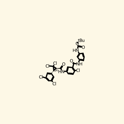 CC(C)(C)OC(=O)Nc1cccc(NC(=O)c2cc(NC(=O)[C@H]3[C@H](c4cc(Cl)cc(Cl)c4)C3(Cl)Cl)ccc2Cl)c1